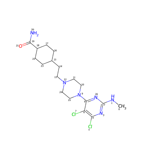 CNc1nc(Cl)c(Cl)c(N2CCN(CCC3CCC(C(N)=O)CC3)CC2)n1